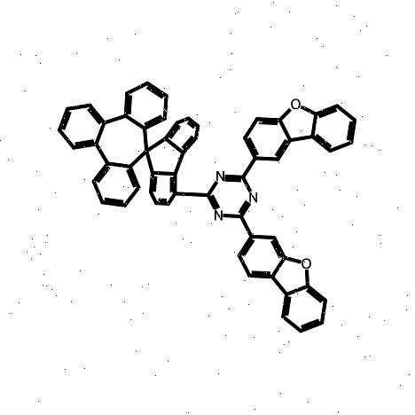 c1ccc2c(c1)-c1ccccc1C1(c3ccccc3-2)c2ccccc2-c2c(-c3nc(-c4ccc5c(c4)oc4ccccc45)nc(-c4ccc5oc6ccccc6c5c4)n3)cccc21